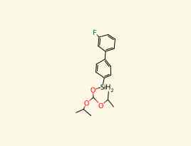 CC(C)OC(O[SiH2]c1ccc(-c2cccc(F)c2)cc1)OC(C)C